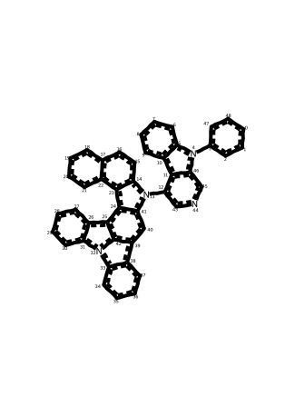 c1ccc(-n2c3ccccc3c3c(-n4c5ccc6ccccc6c5c5c6c7ccccc7n7c8ccccc8c(cc54)c67)cncc32)cc1